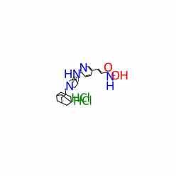 Cl.Cl.O=C(C=Cc1ccc(N[C@@H]2CCN(CC34CC5CC(CC(C5)C3)C4)C2)nc1)NO